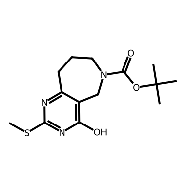 CSc1nc(O)c2c(n1)CCCN(C(=O)OC(C)(C)C)C2